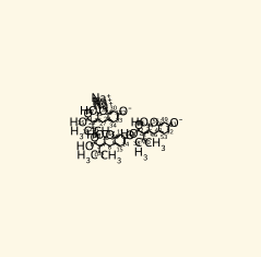 CC(C)/C(C(=O)O)=C(\Cc1ccc([O-])cc1)C(=O)O.CC(C)/C(C(=O)O)=C(\Cc1ccc([O-])cc1)C(=O)O.CC(C)/C(C(=O)O)=C(\Cc1ccc([O-])cc1)C(=O)O.[Na+].[Na+].[Na+]